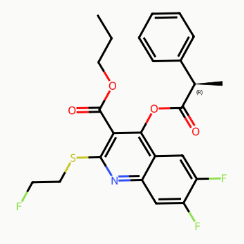 CCCOC(=O)c1c(SCCF)nc2cc(F)c(F)cc2c1OC(=O)[C@H](C)c1ccccc1